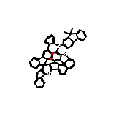 CC1(C)c2ccccc2-c2ccc(N(c3ccccc3-c3ccc4c(c3)-c3ccccc3C43c4ccc5ccccc5c4Oc4c3ccc3ccccc43)c3cccc4c3sc3ccccc34)cc21